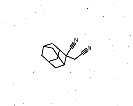 N#CCC1(C#N)C2CC3CC(C2)CC1C3